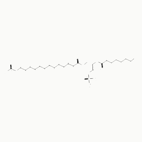 CCCCCCCC(=O)O[C@@H](COC(=O)CCCCCCCCCCCCNC(C)=O)COP(=O)(O)O